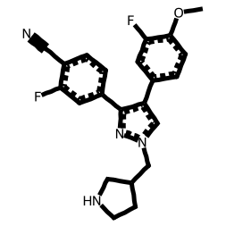 COc1ccc(-c2cn(CC3CCNC3)nc2-c2ccc(C#N)c(F)c2)cc1F